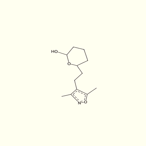 Cc1noc(C)c1CCC1CCCC(O)O1